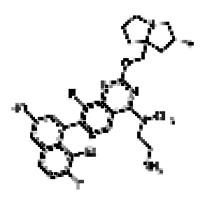 CCc1c(F)ccc2cc(O)cc(-c3ncc4c(N(C)CCN)nc(OC[C@@]56CCCN5C[C@H](F)C6)nc4c3F)c12